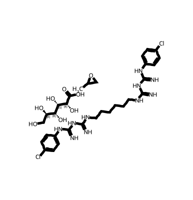 CC1CO1.N=C(NCCCCCCNC(=N)NC(=N)Nc1ccc(Cl)cc1)NC(=N)Nc1ccc(Cl)cc1.O=C(O)[C@H](O)[C@@H](O)[C@H](O)[C@H](O)CO